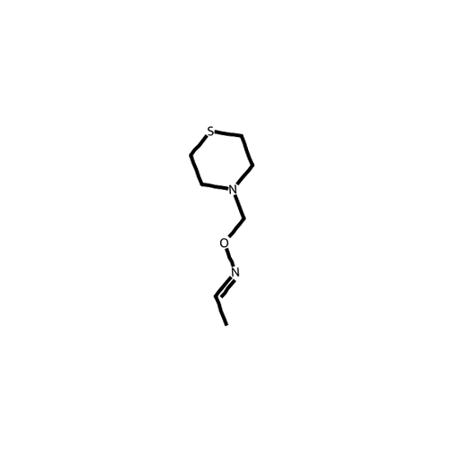 C/C=N/OCN1CCSCC1